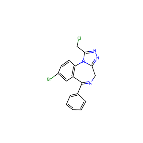 ClCc1nnc2n1-c1ccc(Br)cc1C(c1ccccc1)=NC2